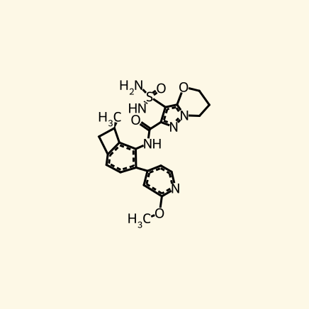 COc1cc(-c2ccc3c(c2NC(=O)c2nn4c(c2S(=N)(N)=O)OCCC4)[C@H](C)C3)ccn1